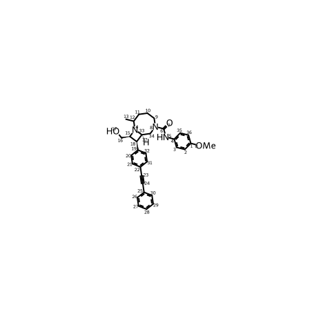 COc1ccc(NC(=O)N2CCCC(C)N3[C@H](CO)[C@H](c4ccc(C#Cc5ccccc5)cc4)[C@@H]3C2)cc1